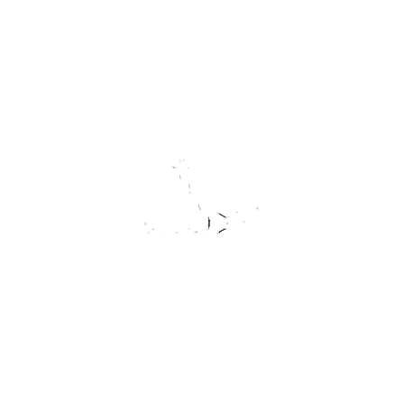 CCOP(C)(=O)Cc1ccc(OCOCC[Si](C)(C)C)c(OCOCC[Si](C)(C)C)c1